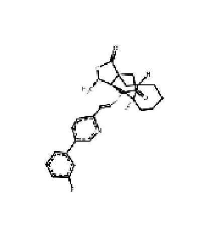 C[C@H]1OC(=O)[C@@]23CC(=O)C[C@@]12[C@@H](/C=C/c1ccc(-c2cccc(F)c2)cn1)[C@@H]1CCCC[C@H]1C3